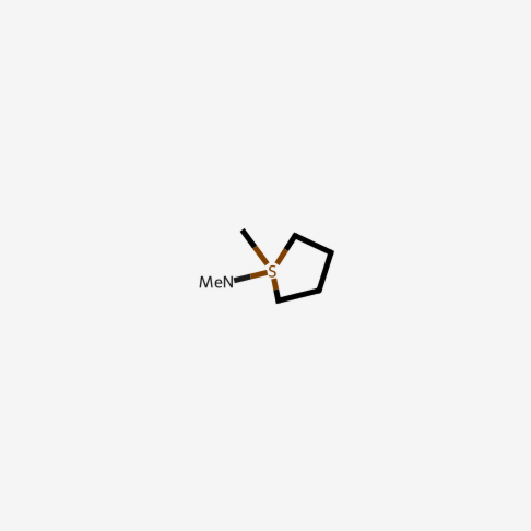 CNS1(C)CCCC1